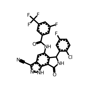 N#Cc1n[nH]c2c3c(c(NC(=O)c4cc(F)cc(C(F)(F)F)c4)cc12)C(c1cc(F)ccc1Cl)NC3=O